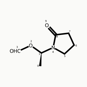 C[C@@H](OC=O)N1CCCC1=O